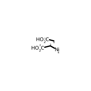 CC(=O)O.O=C(O)[CH2][Ni]